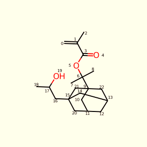 C=C(C)C(=O)OC(C)(C)C12CC3CC(CC(CC(C)O)(C3)C1)C2